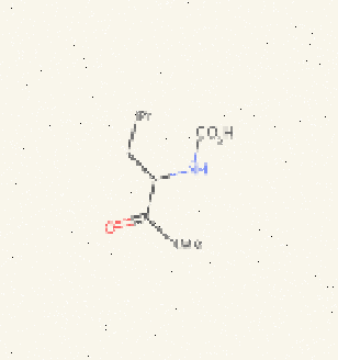 CNC(=O)C(CC(C)C)NC(=O)O